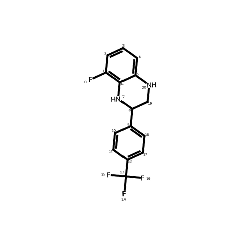 Fc1cccc2c1NC(c1ccc(C(F)(F)F)cc1)CN2